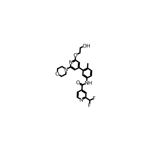 Cc1ccc(NC(=O)c2ccnc(C(F)F)c2)cc1-c1cc(OCCO)nc(N2CCOCC2)c1